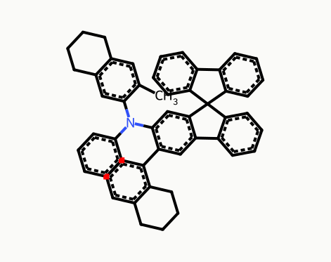 Cc1cc2c(cc1N(c1ccccc1)c1cc3c(cc1-c1cccc4c1CCCC4)-c1ccccc1C31c3ccccc3-c3ccccc31)CCCC2